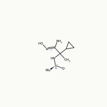 CC(N[S@@+]([O-])C(C)(C)C)(/C(N)=N/O)C1CC1